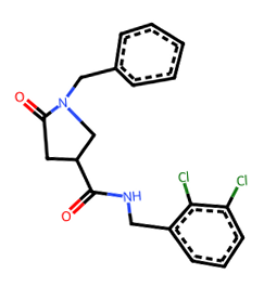 O=C(NCc1cccc(Cl)c1Cl)C1CC(=O)N(Cc2ccccc2)C1